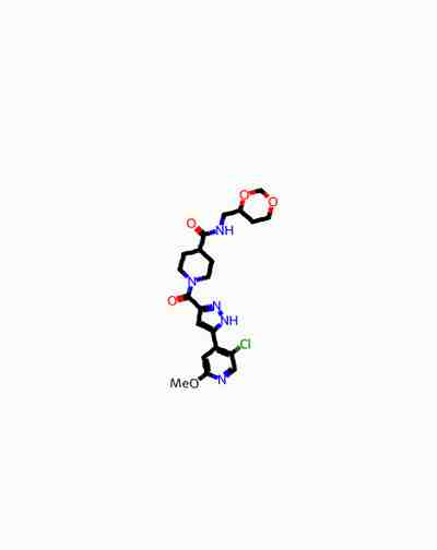 COc1cc(-c2cc(C(=O)N3CCC(C(=O)NCC4CCOCO4)CC3)n[nH]2)c(Cl)cn1